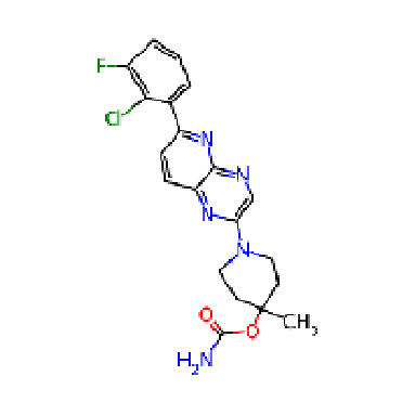 CC1(OC(N)=O)CCN(c2cnc3nc(-c4cccc(F)c4Cl)ccc3n2)CC1